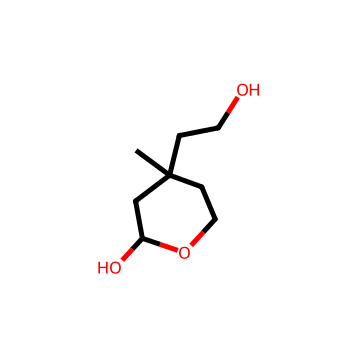 CC1(CCO)CCOC(O)C1